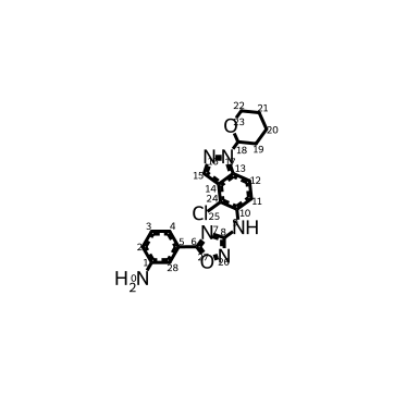 Nc1cccc(-c2nc(Nc3ccc4c(cnn4C4CCCCO4)c3Cl)no2)c1